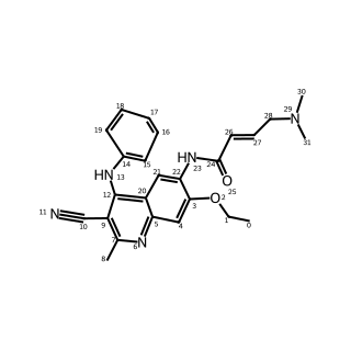 CCOc1cc2nc(C)c(C#N)c(Nc3ccccc3)c2cc1NC(=O)/C=C/CN(C)C